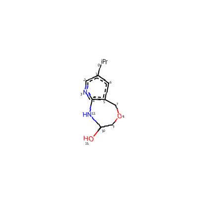 CC(C)c1cnc2c(c1)COCC(O)N2